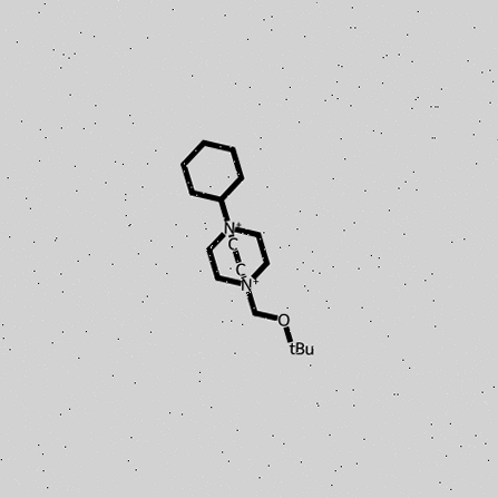 CC(C)(C)OC[N+]12CC[N+](C3CCCCC3)(CC1)CC2